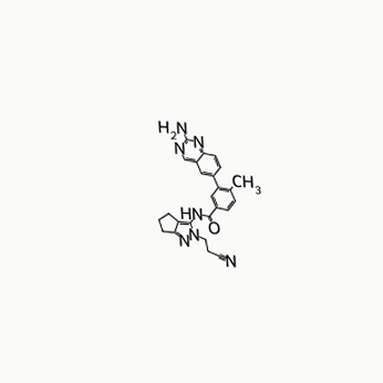 Cc1ccc(C(=O)Nc2c3c(nn2CCC#N)CCC3)cc1-c1ccc2nc(N)ncc2c1